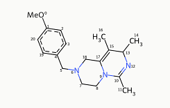 COc1ccc(CN2CCN3C(C)=NC(C)C(C)=C3C2)cc1